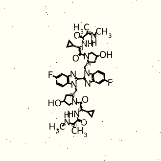 CN[C@H](C)C(=O)N[C@@H](C(=O)N1CC(O)C[C@H]1Cn1c(-c2nc3cc(F)ccc3n2C[C@@H]2CC(O)CN2C(=O)[C@H](NC(=O)[C@@H](C)NC)C2CC2)nc2cc(F)ccc21)C1CC1